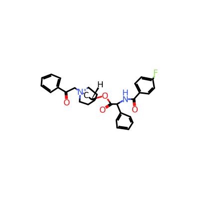 O=C(C[N+]12CCC(CC1)[C@@H](OC(=O)C(NC(=O)c1ccc(F)cc1)c1ccccc1)C2)c1ccccc1